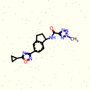 Cn1nnc(C(=O)NC2CCc3cc(-c4noc(C5CC5)n4)ccc32)n1